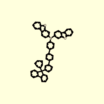 c1ccc(C2(c3cccc(-c4ccc(-c5ccc(N(c6ccc7c(c6)oc6ccccc67)c6ccc7c(c6)oc6ccccc67)cc5)cc4)c3)c3ccccc3-c3ccccc32)cc1